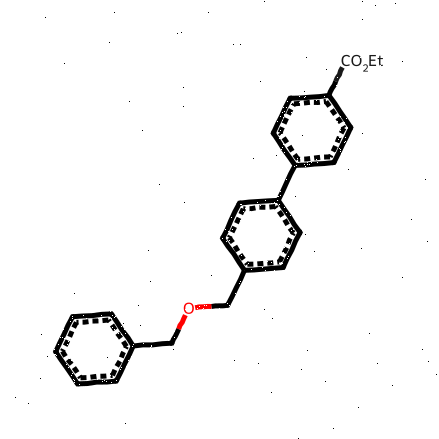 CCOC(=O)c1ccc(-c2ccc(COCc3ccccc3)cc2)cc1